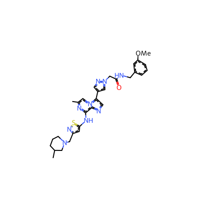 COc1cccc(CNC(=O)Cn2cc(-c3cnc4c(Nc5cc(CN6CCCC(C)C6)ns5)nc(C)cn34)cn2)c1